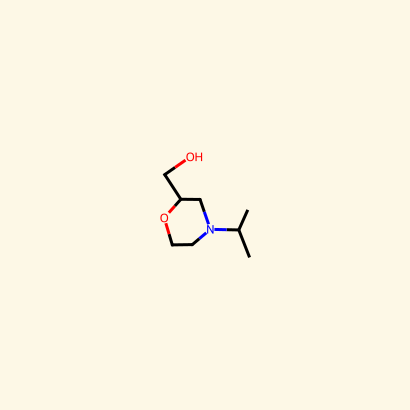 CC(C)N1CCOC(CO)C1